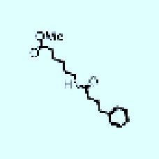 COC(=O)CCCCCNC(=O)CCCc1ccccc1